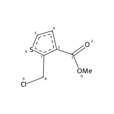 COC(=O)c1ccsc1CCl